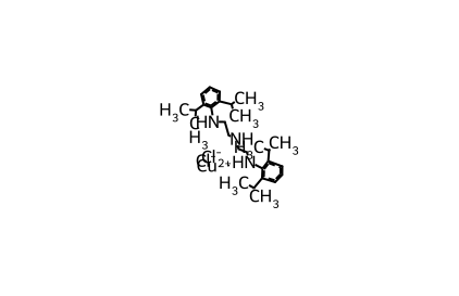 CC(C)c1cccc(C(C)C)c1NCCNCCNc1c(C(C)C)cccc1C(C)C.[Cl-].[Cl-].[Cu+2]